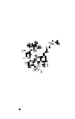 CCCCCCc1ccc(N)c(-c2nc(N)c3ncn(C4CC(O)C(CCP(=O)(O)O)O4)c3n2)c1O